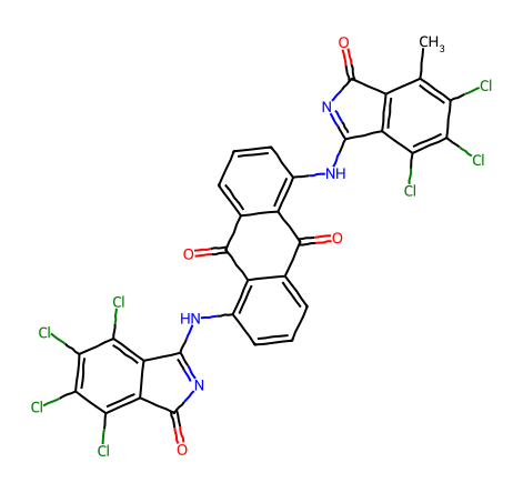 Cc1c(Cl)c(Cl)c(Cl)c2c1C(=O)N=C2Nc1cccc2c1C(=O)c1cccc(NC3=NC(=O)c4c(Cl)c(Cl)c(Cl)c(Cl)c43)c1C2=O